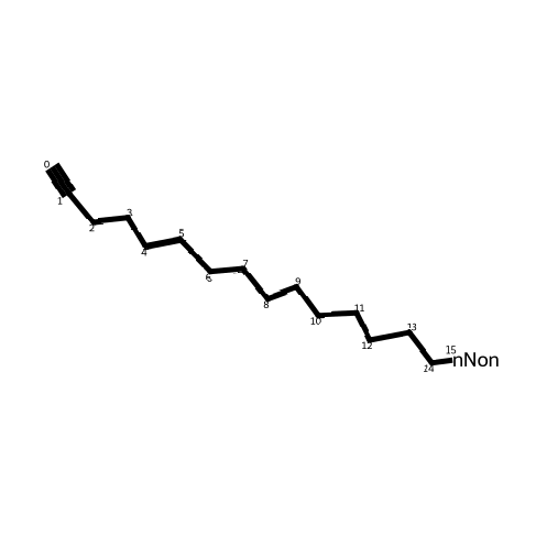 C#CCCCCCCCCCCCCCCCCCCCCCC